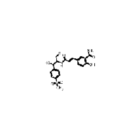 CS(=O)(=O)c1ccc([C@@H](O)[C@@H](CF)NC(=O)C=Cc2ccc(O)c(C(N)=O)c2)cc1